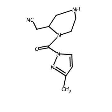 Cc1ccn(C(=O)N2CCNCC2CC#N)n1